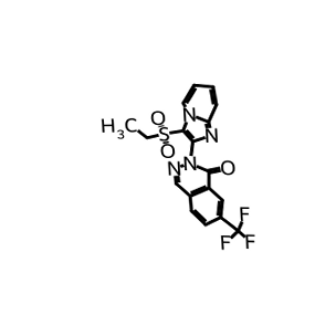 CCS(=O)(=O)c1c(-n2ncc3ccc(C(F)(F)F)cc3c2=O)nc2ccccn12